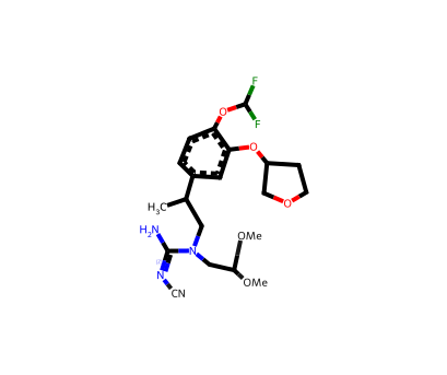 COC(CN(CC(C)c1ccc(OC(F)F)c(OC2CCOC2)c1)/C(N)=N\C#N)OC